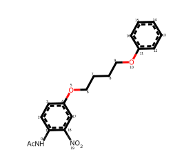 CC(=O)Nc1ccc(OCCCCOc2ccccc2)cc1[N+](=O)[O-]